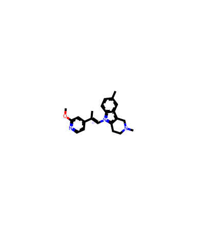 COc1cc(/C(C)=C/n2c3c(c4cc(C)ccc42)CN(C)CC3)ccn1